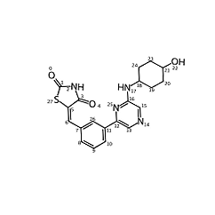 O=C1NC(=O)/C(=C\c2cccc(-c3cncc(NC4CCC(O)CC4)n3)c2)S1